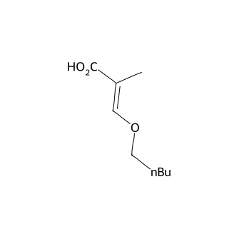 CCCCCOC=C(C)C(=O)O